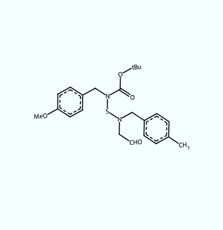 COc1ccc(CN(SN(CC=O)Cc2ccc(C)cc2)C(=O)OC(C)(C)C)cc1